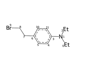 CCN(CC)c1ccc(CCBr)cc1